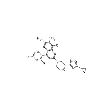 Cc1nc2c(-c3ccc(Cl)cc3F)cc([C@@H]3CCO[C@@H](c4noc(C5CC5)n4)C3)nn2c(=O)c1C